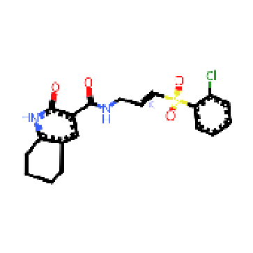 O=C(NC/C=C/S(=O)(=O)c1ccccc1Cl)c1cc2c([nH]c1=O)CCCC2